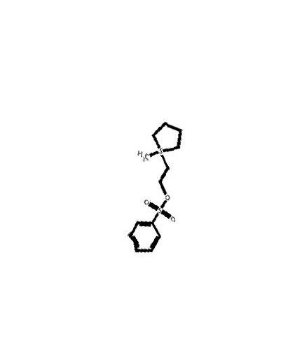 CS1(CCOS(=O)(=O)c2ccccc2)CCCC1